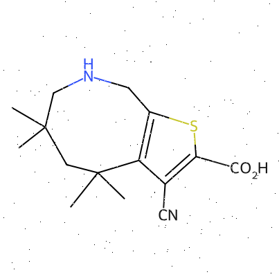 CC1(C)CNCc2sc(C(=O)O)c(C#N)c2C(C)(C)C1